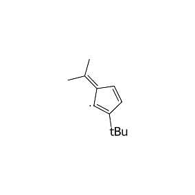 CC(C)=C1[C]=C(C(C)(C)C)C=C1